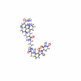 CNC(=O)c1cnc2ccc(N3CCC(C(=O)NCCCCNC(=O)C(C)Nc4cccc5c4C(=O)N(C4CCC(=O)NC4=O)C5=O)CC3)cc2c1Nc1ccccc1